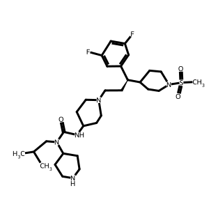 CC(C)CN(C(=O)NC1CCN(CC[C@@H](c2cc(F)cc(F)c2)C2CCN(S(C)(=O)=O)CC2)CC1)C1CCNCC1